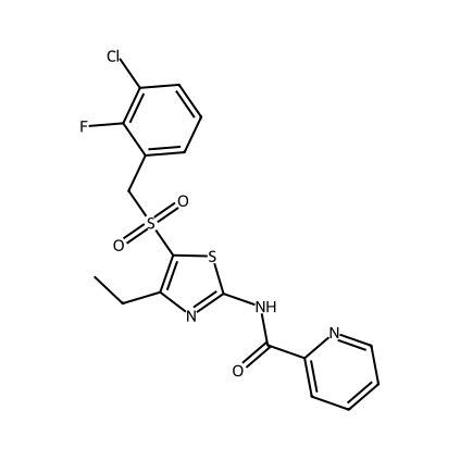 CCc1nc(NC(=O)c2ccccn2)sc1S(=O)(=O)Cc1cccc(Cl)c1F